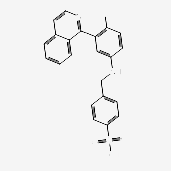 CS(=O)(=O)c1ccc(CNc2ccc(Cl)c(-c3nccc4ccccc34)c2)cc1